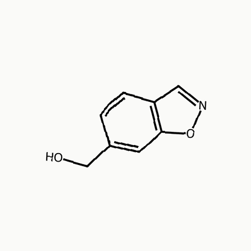 OCc1ccc2cnoc2c1